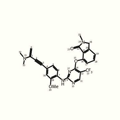 C=C(C#Cc1ccc(Nc2ncc(C(F)(F)F)c(Oc3cccc4c3C(=O)N(C)C4)n2)c(OC)c1)N(C)C